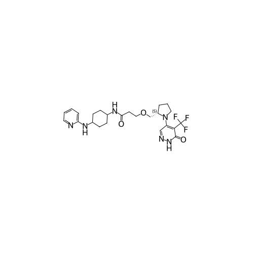 O=C(CCOC[C@@H]1CCCN1c1cn[nH]c(=O)c1C(F)(F)F)NC1CCC(Nc2ccccn2)CC1